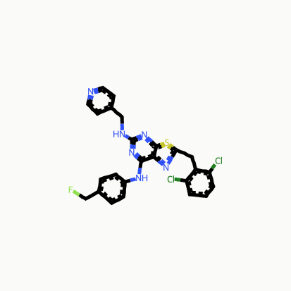 FCc1ccc(Nc2nc(NCc3ccncc3)nc3sc(Cc4c(Cl)cccc4Cl)nc23)cc1